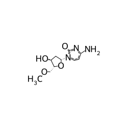 COC[C@H]1O[C@@H](n2ccc(N)nc2=O)C[C@@H]1O